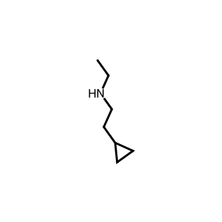 CCNCCC1CC1